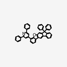 c1ccc(-c2cc(-c3cccc4c3oc3cc5c(cc34)-c3ccccc3C5(c3ccccc3)c3ccccc3)cc(-c3ccccc3)n2)cc1